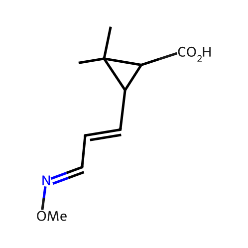 CON=CC=CC1C(C(=O)O)C1(C)C